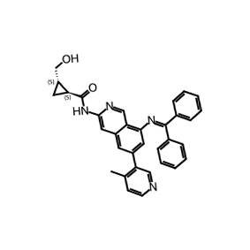 Cc1ccncc1-c1cc(N=C(c2ccccc2)c2ccccc2)c2cnc(NC(=O)[C@H]3C[C@@H]3CO)cc2c1